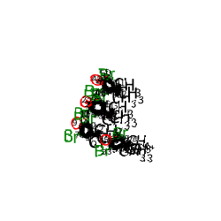 CC(C)(C)c1cc(Br)c([O-])c(Br)c1.CC(C)(C)c1cc(Br)c([O-])c(Br)c1.CC(C)(C)c1cc(Br)c([O-])c(Br)c1.CC(C)(C)c1cc(Br)c([O-])c(Br)c1.[Ti+4]